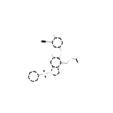 CC(=O)SCc1c(Oc2ccc(F)c(C#N)c2)c(F)cc2c1ccn2S(=O)(=O)c1ccccc1